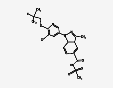 Cc1nn(-c2cnc(OCC(C)(C)F)c(Cl)c2)c2ccc(C(=O)NS(C)(=O)=O)cc12